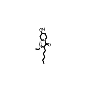 CCCCCC(NCC)C(=O)N1CCC(O)CC1